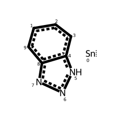 [Sn].c1ccc2[nH]nnc2c1